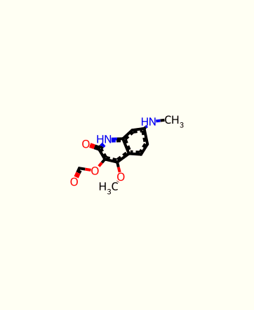 CNc1ccc2c(OC)c(OC=O)c(=O)[nH]c2c1